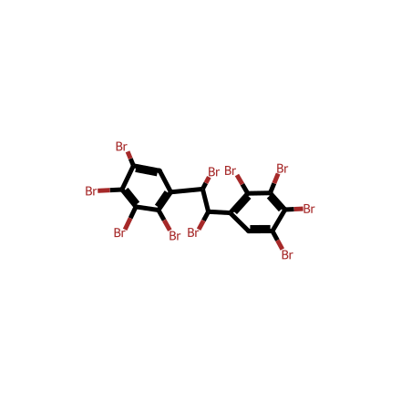 Brc1cc(C(Br)C(Br)c2cc(Br)c(Br)c(Br)c2Br)c(Br)c(Br)c1Br